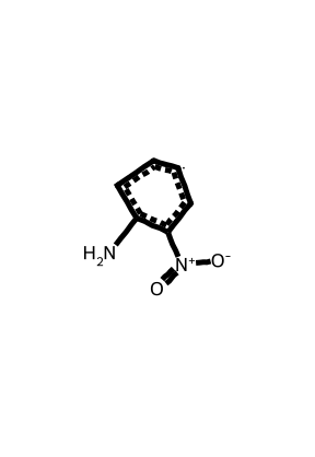 Nc1cc[c]cc1[N+](=O)[O-]